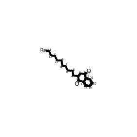 O=C1C=C(CCCCCCCCCCBr)C(=O)c2ccccc21